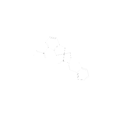 O=C(NO)c1cccc2c1CC1(CCN(Cc3ccccc3Cl)C1=O)C2